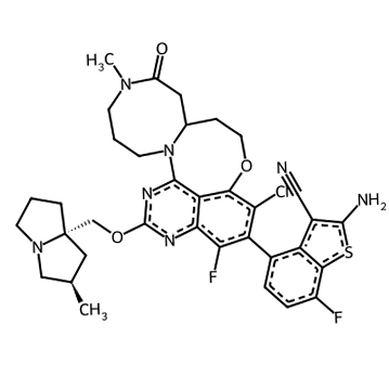 C[C@H]1CN2CCC[C@@]2(COc2nc3c4c(c(Cl)c(-c5ccc(F)c6sc(N)c(C#N)c56)c(F)c4n2)OCCC2CC(=O)N(C)CCCN32)C1